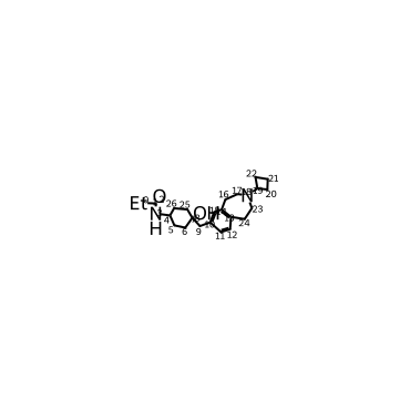 CCC(=O)NC1CCC(O)(Cc2ccc3c(c2)CCN(C2CCC2)CC3)CC1